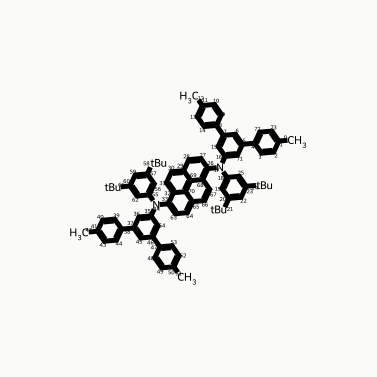 Cc1ccc(-c2cc(-c3ccc(C)cc3)cc(N(c3cc(C(C)(C)C)cc(C(C)(C)C)c3)c3ccc4ccc5c(N(c6cc(-c7ccc(C)cc7)cc(-c7ccc(C)cc7)c6)c6cc(C(C)(C)C)cc(C(C)(C)C)c6)ccc6ccc3c4c65)c2)cc1